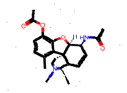 CC(=O)N[C@H]1C=CC2[C@@H](C)N(C)CC[C@@]23c2c(C)ccc(OC(C)=O)c2O[C@@H]13